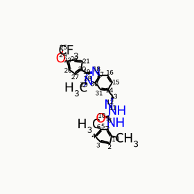 Cc1cccc(C)c1NC(=O)NN=Cc1ccc2nc(-c3ccc(OC(F)(F)F)cc3)n(C)c2c1